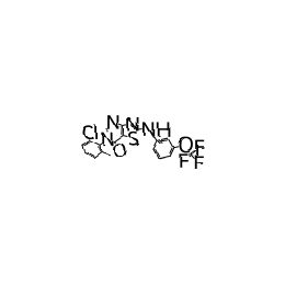 Cc1cccc(Cl)c1-n1cnc2nc(Nc3cccc(OC(F)(F)F)c3)sc2c1=O